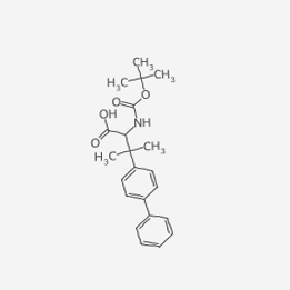 CC(C)(C)OC(=O)NC(C(=O)O)C(C)(C)c1ccc(-c2ccccc2)cc1